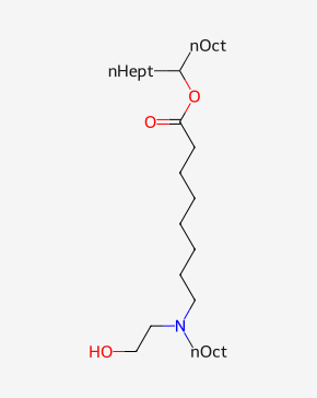 CCCCCCCCC(CCCCCCC)OC(=O)CCCCCCCN(CCO)CCCCCCCC